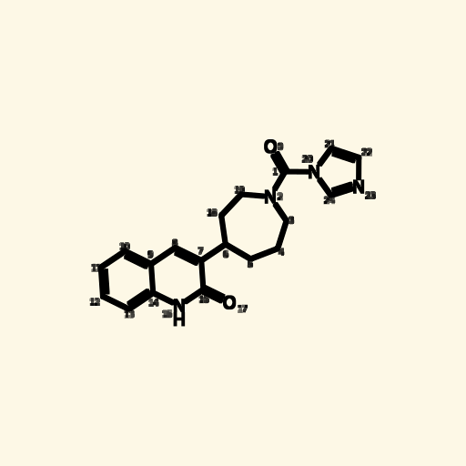 O=C(N1CCCC(c2cc3ccccc3[nH]c2=O)CC1)n1ccnc1